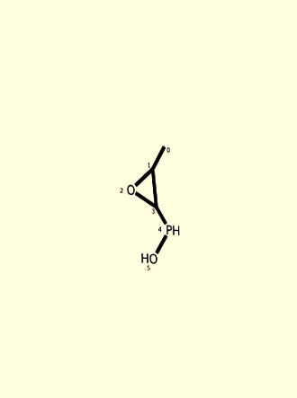 CC1OC1PO